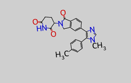 Cc1ccc(-c2c(-c3ccc4c(c3)CN(C3CCC(=O)NC3=O)C4=O)ncn2C)cc1